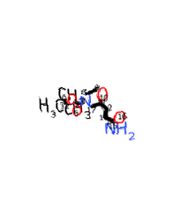 CC(C)(C)OC(=O)N1CCOC(CCC(N)=O)C1